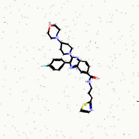 O=C(NCCCc1nccs1)c1ccc2nc(N3CCC(N4CCOCC4)CC3)c(-c3ccc(F)cc3)nc2c1